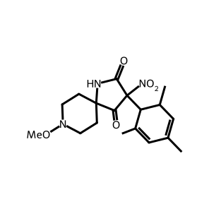 CON1CCC2(CC1)NC(=O)C(C1C(C)=CC(C)=CC1C)([N+](=O)[O-])C2=O